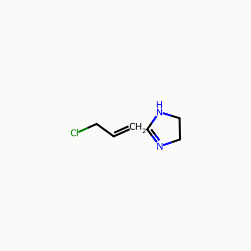 C1=NCCN1.C=CCCl